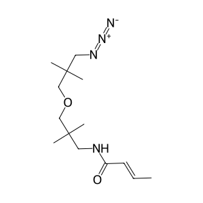 C/C=C/C(=O)NCC(C)(C)COCC(C)(C)CN=[N+]=[N-]